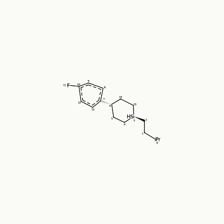 CC(C)CC[Si@H]1CC[C@H](c2ccc(F)cc2)CC1